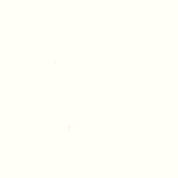 CCOc1cc(Cl)c(C)cc1Cl